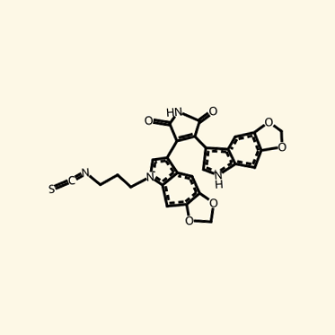 O=C1NC(=O)C(c2cn(CCCN=C=S)c3cc4c(cc23)OCO4)=C1c1c[nH]c2cc3c(cc12)OCO3